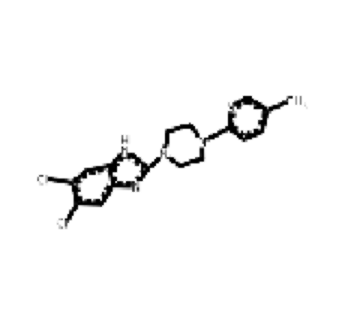 Cc1ccc(N2CCN(c3nc4cc(Cl)c(Cl)cc4[nH]3)CC2)nc1